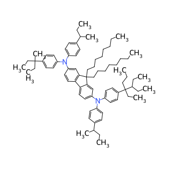 CCCCCCCCC1(CCCCCCCC)c2cc(N(c3ccc(C(C)CC)cc3)c3ccc(C(C)(CC)CC)cc3)ccc2-c2ccc(N(c3ccc(C(C)CC)cc3)c3ccc(C(CC)(CCC)C(CC)CC)cc3)cc21